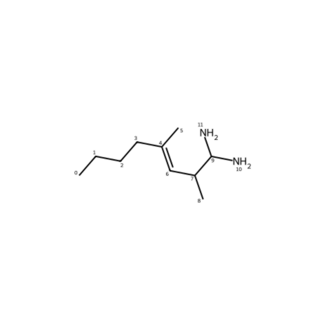 CCCCC(C)=CC(C)C(N)N